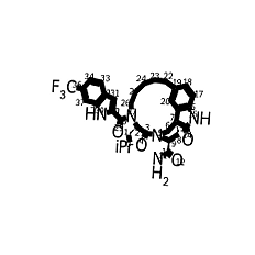 CC(C)C[C@H]1C(=O)N2C[C@]3(C[C@H]2C(N)=O)C(=O)Nc2ccc(cc23)CCCCCN1C(=O)c1cc2ccc(C(F)(F)F)cc2[nH]1